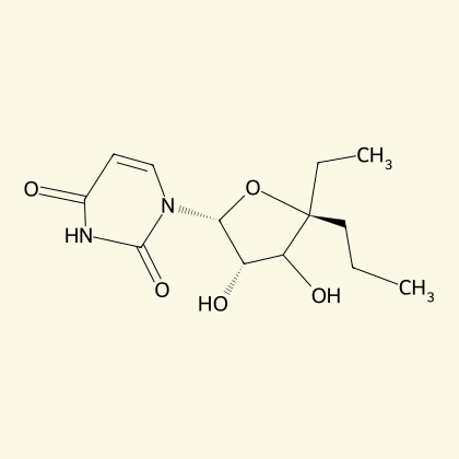 CCC[C@]1(CC)O[C@@H](n2ccc(=O)[nH]c2=O)[C@@H](O)C1O